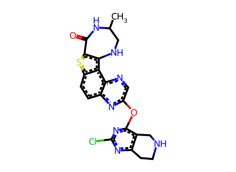 CC1CNc2c(sc3ccc4nc(Oc5nc(Cl)nc6c5CNCC6)cnc4c23)C(=O)N1